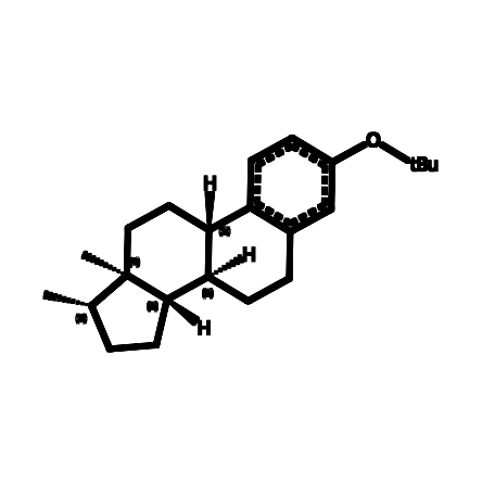 C[C@H]1CC[C@H]2[C@@H]3CCc4cc(OC(C)(C)C)ccc4[C@H]3CC[C@]12C